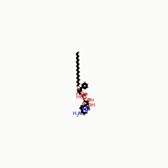 CCCCCCCCCCCCCCCCCCOC[C@@](C)(CCc1ccccc1)COP(=O)(O)OC[C@H]1O[C@@](C#N)(c2ccc3c(N)ccnn23)[C@H](O)[C@@H]1O